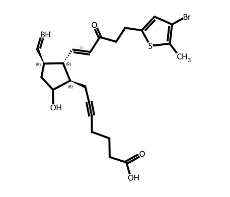 B=C[C@@H]1CC(O)[C@H](CC#CCCCC(=O)O)[C@H]1/C=C/C(=O)CCc1cc(Br)c(C)s1